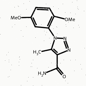 COc1ccc(OC)c(-n2nnc(C(N)=O)c2C)c1